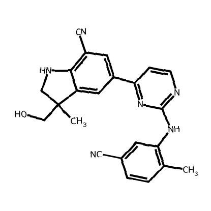 Cc1ccc(C#N)cc1Nc1nccc(-c2cc(C#N)c3c(c2)C(C)(CO)CN3)n1